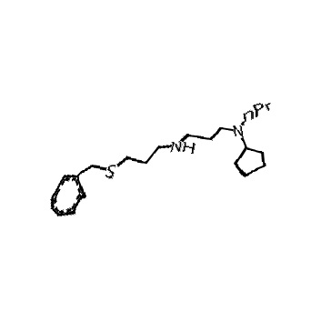 CCCN(CCCNCCCSCc1ccccc1)C1CCCC1